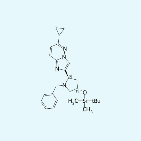 CC(C)(C)[Si](C)(C)O[C@H]1C[C@H](c2cn3nc(C4CC4)ccc3n2)N(Cc2ccccc2)C1